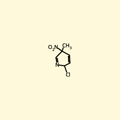 CC1([N+](=O)[O-])C=CC(Cl)N=C1